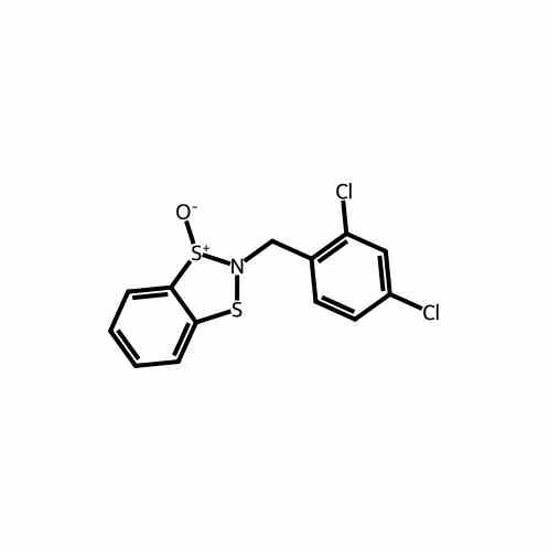 [O-][S+]1c2ccccc2SN1Cc1ccc(Cl)cc1Cl